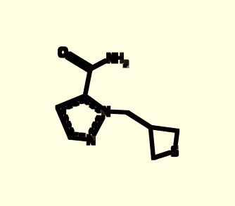 NC(=O)c1ccnn1CC1CSC1